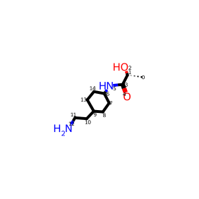 C[C@@H](O)C(=O)NC1CCC(CCN)CC1